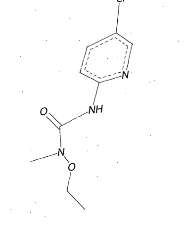 CCON(C)C(=O)Nc1ccc(Cl)cn1